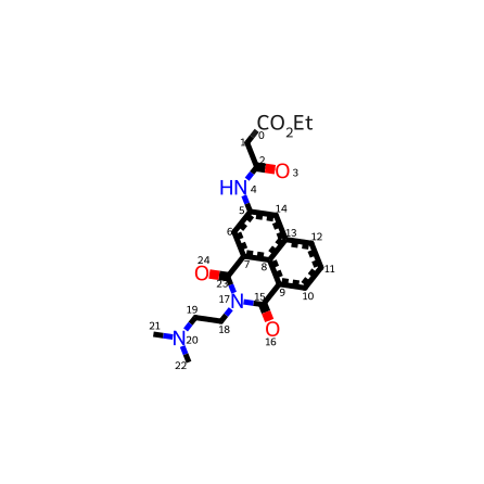 CCOC(=O)CC(=O)Nc1cc2c3c(cccc3c1)C(=O)N(CCN(C)C)C2=O